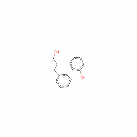 OCCCc1ccccc1.Oc1ccccc1